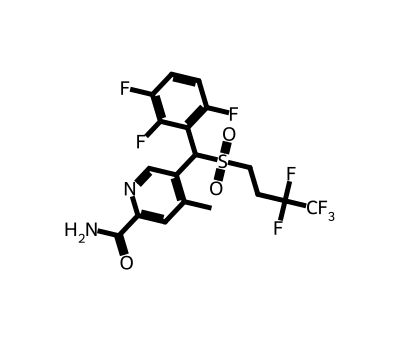 Cc1cc(C(N)=O)ncc1C(c1c(F)ccc(F)c1F)S(=O)(=O)CCC(F)(F)C(F)(F)F